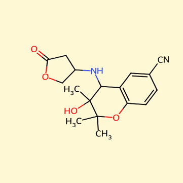 CC1(C)Oc2ccc(C#N)cc2C(NC2COC(=O)C2)C1(C)O